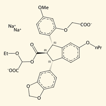 CCCOc1ccc2c(c1)[C@@H](c1ccc(OC)cc1OCC(=O)[O-])[C@H](C(=O)OC(OCC)C(=O)[O-])[C@H]2c1ccc2c(c1)OCO2.[Na+].[Na+]